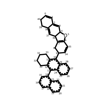 C1=CC2=CC3OC4=C(CC(c5c6c(c(-c7cccc8ccccc78)c7ccccc57)CCCC6)C=C4)C3C=C2CC1